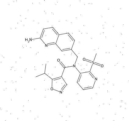 CC(C)c1oncc1C(=O)N(Cc1ccc2ccc(N)nc2c1)c1cccnc1S(C)(=O)=O